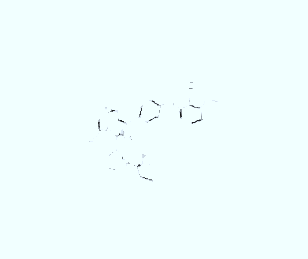 C=CC(=O)N1CCCC1c1nc(-c2ccc(Oc3cccc(OC)c3F)cc2)c2cncc(OC)n12